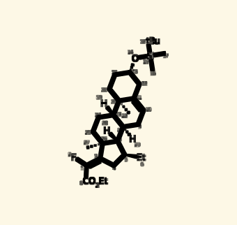 CCOC(=O)C(F)=C1C[C@H](CC)[C@H]2[C@@H]3CC=C4C[C@@H](O[Si](C)(C)C(C)(C)C)CC[C@]4(C)[C@H]3CC[C@]12C